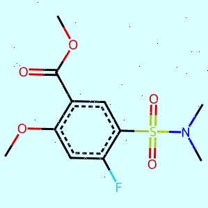 COC(=O)c1cc(S(=O)(=O)N(C)C)c(F)cc1OC